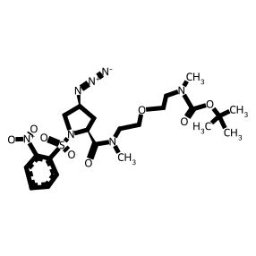 CN(CCOCCN(C)C(=O)[C@@H]1C[C@H](N=[N+]=[N-])CN1S(=O)(=O)c1ccccc1[N+](=O)[O-])C(=O)OC(C)(C)C